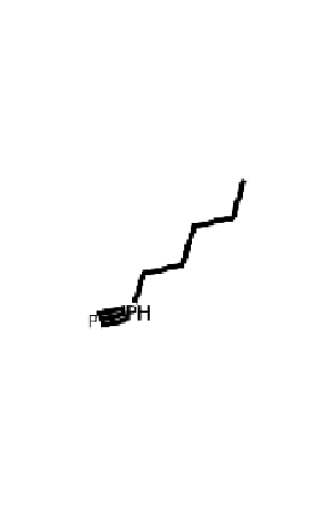 CCCCC[PH]#P